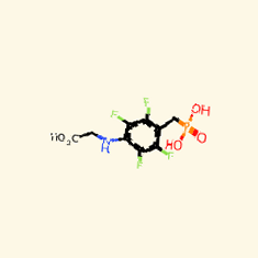 O=C(O)CNc1c(F)c(F)c(CP(=O)(O)O)c(F)c1F